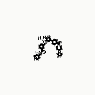 Nc1ncc(-c2ccc(C(=O)N3CCC(N4CCCC4)CC3)cc2)cc1OCc1cccc(C(=O)NCc2ccncc2)c1